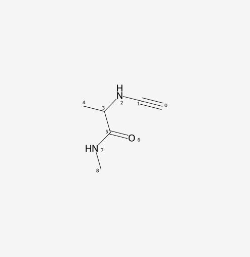 C#CNC(C)C(=O)NC